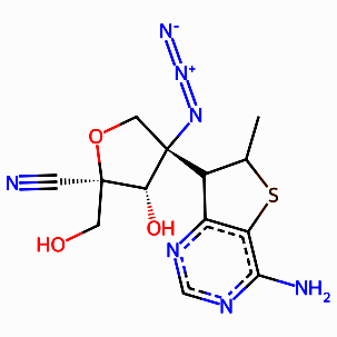 CC1Sc2c(N)ncnc2C1[C@]1(N=[N+]=[N-])CO[C@](C#N)(CO)[C@H]1O